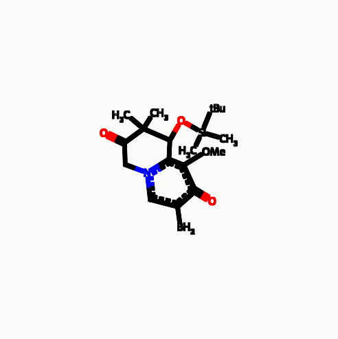 Bc1cn2c(c(OC)c1=O)C(O[Si](C)(C)C(C)(C)C)C(C)(C)C(=O)C2